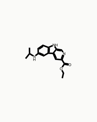 CCOC(=O)c1cc2c(cn1)[nH]c1ccc(NC(C)C)cc12